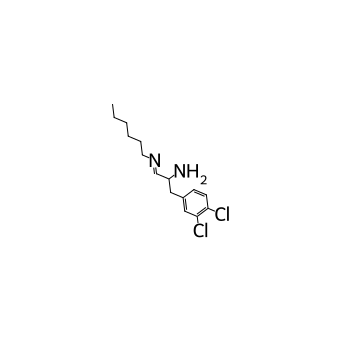 CCCCCCN=CC(N)Cc1ccc(Cl)c(Cl)c1